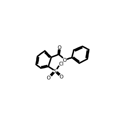 O=C(Oc1ccccc1)c1ccccc1S(=O)(=O)Cl